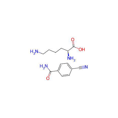 N#Cc1ccc(C(N)=O)cc1.NCCCC[C@H](N)C(=O)O